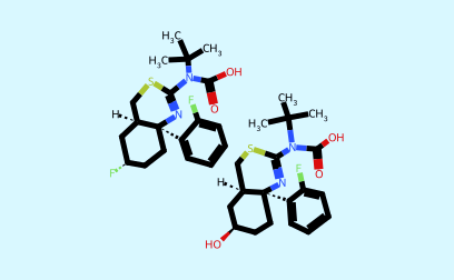 CC(C)(C)N(C(=O)O)C1=N[C@@]2(c3ccccc3F)CC[C@@H](O)C[C@H]2CS1.CC(C)(C)N(C(=O)O)C1=N[C@@]2(c3ccccc3F)CC[C@H](F)C[C@H]2CS1